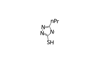 CCCC1=NN=C(S)[N]1